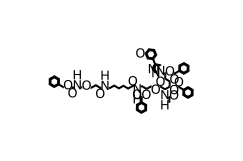 COc1cccc(-c2cn(CC3OC(OCC(CNC(=O)CCCCCNC(=O)CCOCNC(=O)OCc4ccccc4)OC(=O)c4ccccc4)C(NC(C)=O)C(OC(=O)c4ccccc4)C3OC(=O)c3ccccc3)nn2)c1